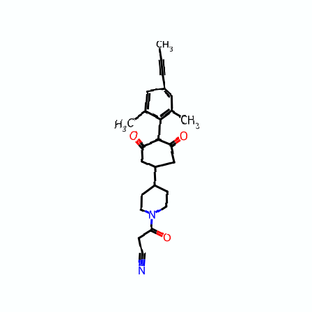 CC#Cc1cc(C)c(C2C(=O)CC(C3CCN(C(=O)CC#N)CC3)CC2=O)c(C)c1